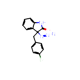 [N-]=[N+]=NC1(Cc2ccc(Br)cc2)C(=O)Nc2ccccc21